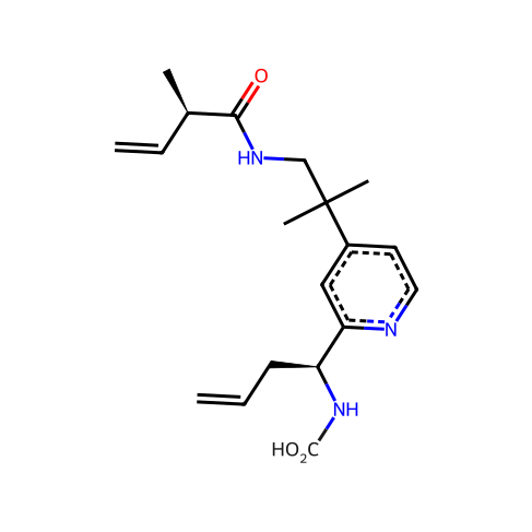 C=CC[C@H](NC(=O)O)c1cc(C(C)(C)CNC(=O)[C@H](C)C=C)ccn1